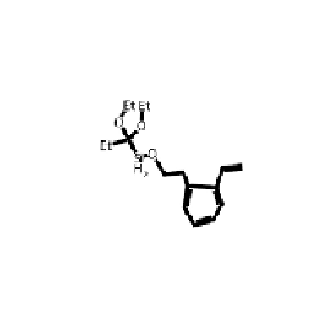 C=Cc1ccccc1CCO[SiH2]C(CC)(OCC)OCC